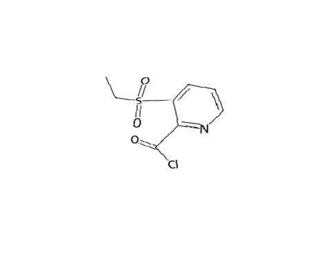 CCS(=O)(=O)c1cccnc1C(=O)Cl